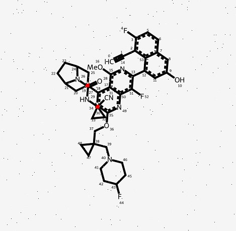 C#Cc1c(F)ccc2cc(O)cc(-c3nc(OC)c4c(N5CC6CCC(C5)N6C(=O)NC5(C#N)CC5)nc(OCC5(CN6CCC(F)CC6)CC5)nc4c3F)c12